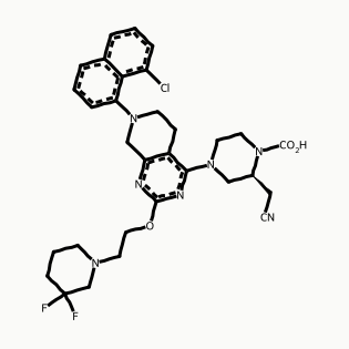 N#CC[C@H]1CN(c2nc(OCCN3CCCC(F)(F)C3)nc3c2CCN(c2cccc4cccc(Cl)c24)C3)CCN1C(=O)O